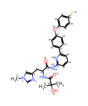 Cn1cnc(CC(NC(=O)C(C)(C)O)C(=O)Nc2cccc(-c3ccc(Oc4ccc(F)cc4)cc3)n2)c1